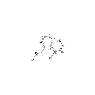 CSCc1cccc2cccc(I)c12